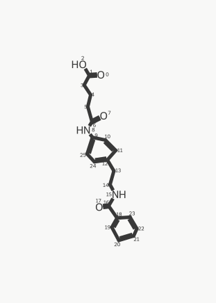 O=C(O)CCCC(=O)Nc1ccc(CCNC(=O)c2ccccc2)cc1